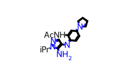 CC(=O)NC1=CC(=[N+]2CCCC2)C=C/C1=N/c1cnn(C(C)C)c1N